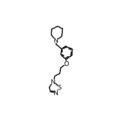 C1=NSN(CCCOc2cccc(CN3CCCCC3)c2)C1